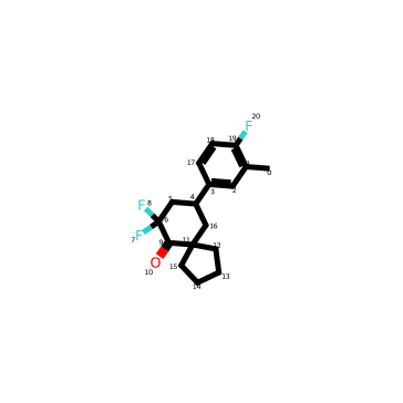 Cc1cc(C2CC(F)(F)C(=O)C3(CCCC3)C2)ccc1F